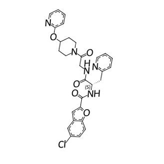 O=C(N[C@@H](Cc1ccccn1)C(=O)NCC(=O)N1CCC(Oc2ccccn2)CC1)c1cc2cc(Cl)ccc2o1